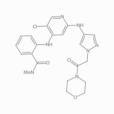 CNC(=O)c1ccccc1Nc1cc(Nc2cnn(CC(=O)N3CCOCC3)c2)ncc1Cl